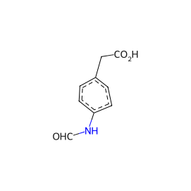 O=CNc1ccc(CC(=O)O)cc1